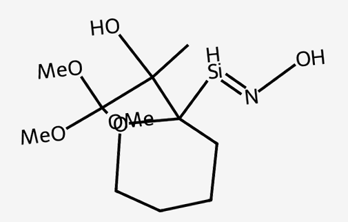 COC(OC)(OC)C(C)(O)C1([SiH]=NO)CCCCO1